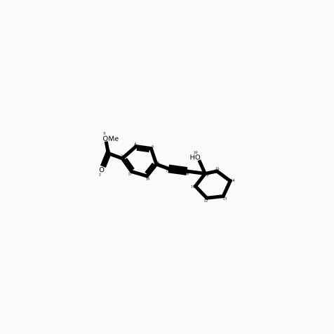 COC(=O)c1ccc(C#CC2(O)CCCCC2)cc1